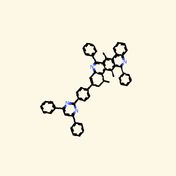 Cc1c2c3c(nc(-c4ccccc4)c2c(C)c2c1c(-c1ccccc1)nc1ccccc12)C=C(c1ccc(-c2nc(-c4ccccc4)cc(-c4ccccc4)n2)cc1)CC3C